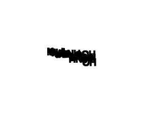 Cc1c(C)n(CC(C)CN2CCN(C)CC2)c2ccc(Nc3cccc(C(=O)Nc4cc(O)c(-c5ccncc5)c(O)c4)c3)cc12